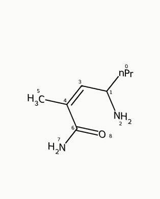 CCCC(N)C=C(C)C(N)=O